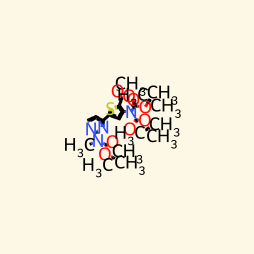 COC(=O)c1sc(-c2ccnc(N(C)C(=O)OC(C)(C)C)n2)cc1N(C(=O)OC(C)(C)C)C(=O)OC(C)(C)C